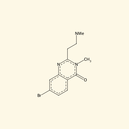 CNCCc1nc2cc(Br)ccc2c(=O)n1C